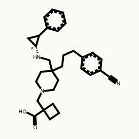 N#Cc1ccc(CCCC2(CN[C@@H]3CC3c3ccccc3)CCN(CC3(C(=O)O)CCC3)CC2)cc1